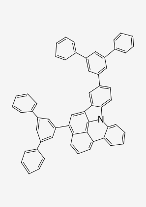 c1ccc(-c2cc(-c3ccccc3)cc(-c3ccc4c(c3)c3cc(-c5cc(-c6ccccc6)cc(-c6ccccc6)c5)c5cccc6c7ccccc7n4c3c56)c2)cc1